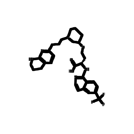 O=C(O)[C@H](CCO[C@@H]1CCCN(CCCc2ccc3c(n2)NCCC3)C1)Nc1nccc2cc(C(F)(F)F)ccc12